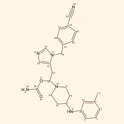 Cc1cccc(NC2CCN(C(Cc3cncn3Cc3ccc(C#N)cc3)OC(N)=O)CC2)c1